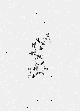 O=C(CC1=CC=CC2=NCCN12)Nc1nnc(C2CC2)s1